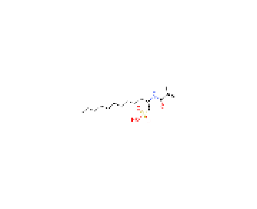 C=C(C)C(=O)NC(CCCCCCCCCC)CS(=O)(=O)O